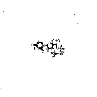 CC(C)(C)[Si](C)(C)OC[C@@]1(C=O)O[C@@H](n2ccc(=O)[nH]c2=O)[C@@H](F)C1O[Si](C)(C)C(C)(C)C